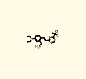 CCN(CC)c1ccc(C=Cc2ncnc(C(Cl)(Cl)Cl)n2)c(CN)c1